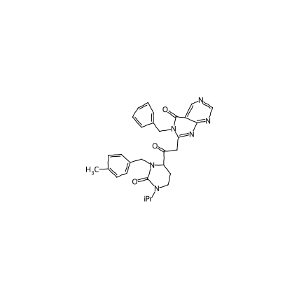 Cc1ccc(CN2C(=O)N(C(C)C)CCC2C(=O)Cc2nc3ncncc3c(=O)n2Cc2ccccc2)cc1